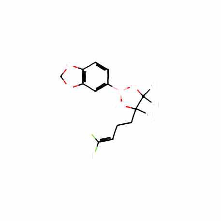 CC1(C)OB(c2ccc3c(c2)OCO3)OC1(C)CCC=C(F)F